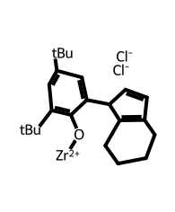 CC(C)(C)c1cc(C2C=CC3=C2CCCC3)c([O][Zr+2])c(C(C)(C)C)c1.[Cl-].[Cl-]